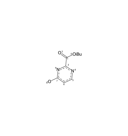 CC(C)COC(=O)c1nccc([O])n1